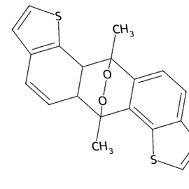 CC12OOC(C)(c3ccc4ccsc4c31)C1c3sccc3C=CC12